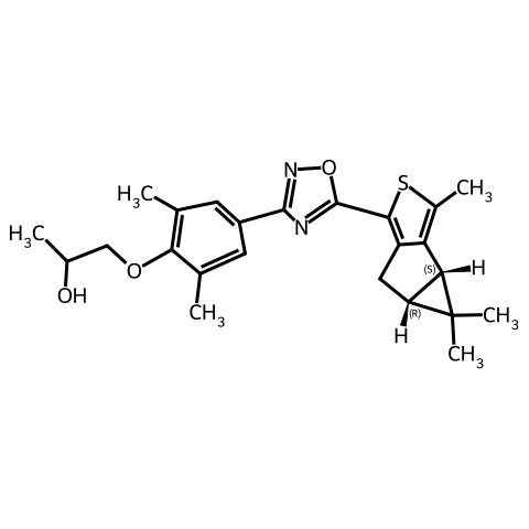 Cc1cc(-c2noc(-c3sc(C)c4c3C[C@@H]3[C@H]4C3(C)C)n2)cc(C)c1OCC(C)O